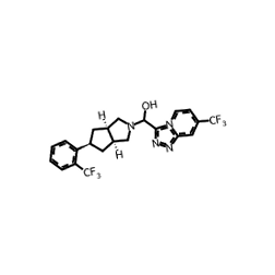 OC(c1nnc2cc(C(F)(F)F)ccn12)N1C[C@H]2C[C@@H](c3ccccc3C(F)(F)F)C[C@H]2C1